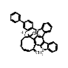 C=C1/C=C\C=C/CC(C)(C)c2c1c1sc3ccccc3c1c1c3ccccc3n(-c3ccc(-c4ccccc4)cc3)c21